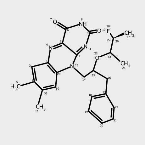 Cc1cc2nc3c(=O)[nH]c(=O)nc-3n(CC(Cc3ccccc3)OC(C)[C@H](C)F)c2cc1C